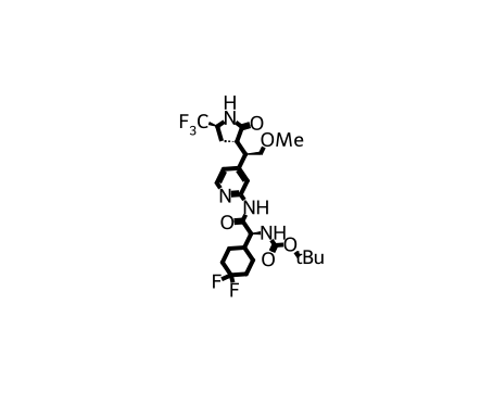 COC[C@@H](c1ccnc(NC(=O)[C@@H](NC(=O)OC(C)(C)C)C2CCC(F)(F)CC2)c1)[C@@H]1C[C@@H](C(F)(F)F)NC1=O